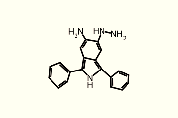 NNc1cc2c(-c3ccccc3)[nH]c(-c3ccccc3)c2cc1N